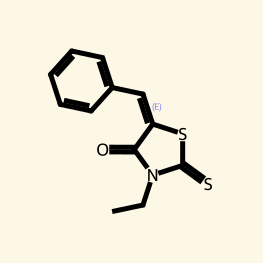 CCN1C(=O)/C(=C\c2ccccc2)SC1=S